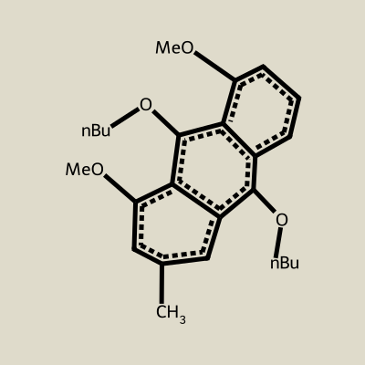 CCCCOc1c2cccc(OC)c2c(OCCCC)c2c(OC)cc(C)cc12